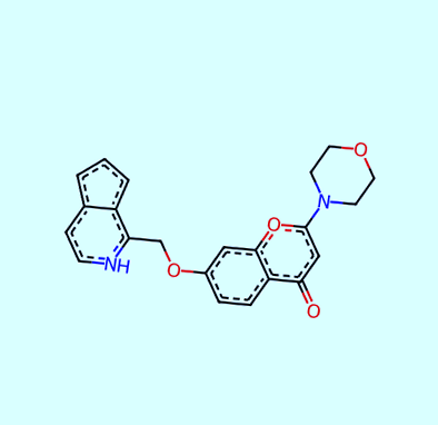 O=c1cc(N2CCOCC2)oc2cc(OCc3[nH]ccc4cccc3-4)ccc12